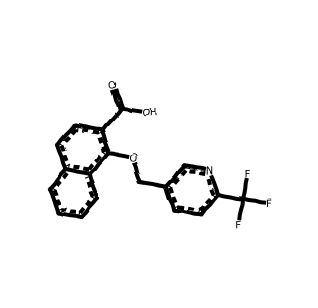 O=C(O)c1ccc2ccccc2c1OCc1ccc(C(F)(F)F)nc1